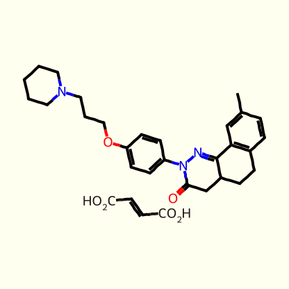 Cc1ccc2c(c1)C1=NN(c3ccc(OCCCN4CCCCC4)cc3)C(=O)CC1CC2.O=C(O)C=CC(=O)O